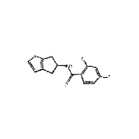 O=C(NC1Cc2ccsc2C1)c1ccc(F)cc1F